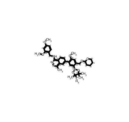 COc1ccc(CNc2nnc(C)c3cc(-c4cc(B5OC(C)(C)C(C)(C)O5)c(COC5CCCCO5)cc4OC)ccc23)c(OC)c1